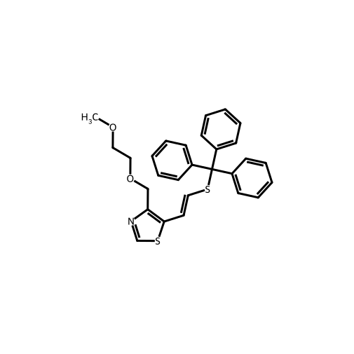 COCCOCc1ncsc1C=CSC(c1ccccc1)(c1ccccc1)c1ccccc1